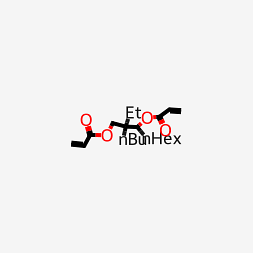 C=CC(=O)OCC(CC)(CCCC)C(CCCCCC)OC(=O)C=C